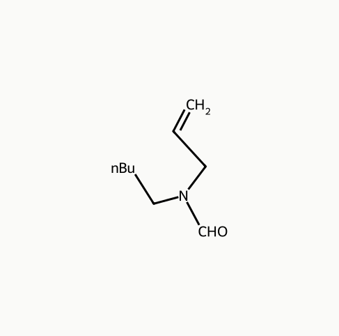 C=CCN(C=O)CCCCC